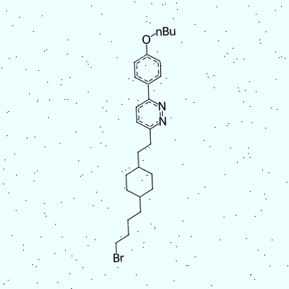 CCCCOc1ccc(-c2ccc(CCC3CCC(CCCCBr)CC3)nn2)cc1